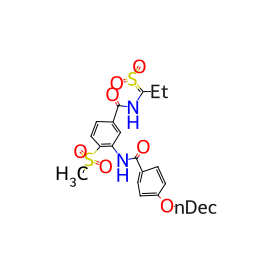 CCCCCCCCCCOc1ccc(C(=O)Nc2cc(C(=O)NC(CC)=S(=O)=O)ccc2S(C)(=O)=O)cc1